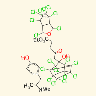 CCOC(=O)CCC(=O)CC1(O)C2(Cl)C3(Cl)C4(Cl)C(Cl)(Cl)C5(Cl)C3(Cl)C1(Cl)C5(Cl)C42Cl.CNC(C)Cc1ccc(O)cc1.ClC1=C(Cl)C2(Cl)C3C(Cl)OC(Cl)C3C1(Cl)C2(Cl)Cl